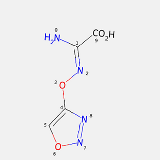 NC(=NOc1conn1)C(=O)O